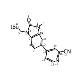 Cn1c(=O)n(CC(C)(C)C)c2ccc(-c3ccnc(C#N)c3)cc21